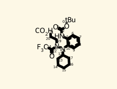 CC(C)(C)OC(=O)Nc1ccccc1N(C1CCCCC1)N(CCC(=O)O)C(=O)C(F)(F)F